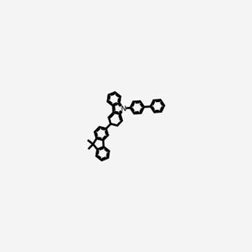 CC1(C)c2ccccc2-c2cc(C3C=c4c(n(-c5ccc(-c6ccccc6)cc5)c5ccccc45)=CC3)ccc21